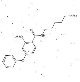 CNCCCCCNC(=O)c1ccc(Oc2ccccc2)cc1OC